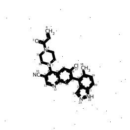 C=CC(=O)N1CCN(c2c(C#N)cnc3cc(-c4c(C)ccc5[nH]ncc45)c(Cl)cc23)CC1